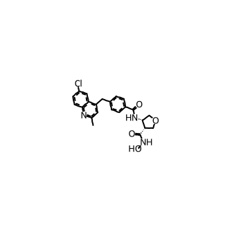 Cc1cc(Cc2ccc(C(=O)N[C@@H]3COC[C@@H]3C(=O)NO)cc2)c2cc(Cl)ccc2n1